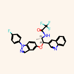 C[C@H](NC(=O)C(F)(F)F)[C@H](Oc1ccc2c(cnn2-c2ccc(F)cc2)c1)c1cnc2ccccc2c1